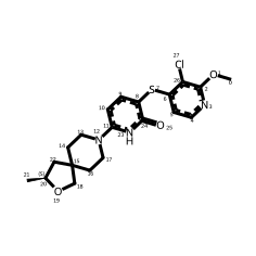 COc1nccc(Sc2ccc(N3CCC4(CC3)CO[C@@H](C)C4)[nH]c2=O)c1Cl